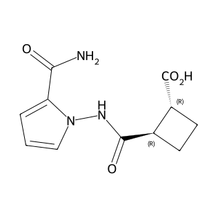 NC(=O)c1cccn1NC(=O)[C@@H]1CC[C@H]1C(=O)O